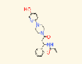 C=CC(=O)NC(CC(=O)N1CCN(c2ccc(O)cn2)CC1)c1ccccc1